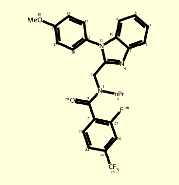 CCCN(Cc1nc2ccccc2n1-c1ccc(OC)cc1)C(=O)c1ccc(C(F)(F)F)cc1F